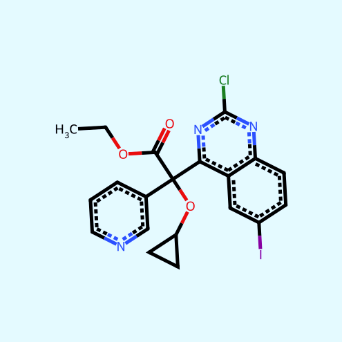 CCOC(=O)C(OC1CC1)(c1cccnc1)c1nc(Cl)nc2ccc(I)cc12